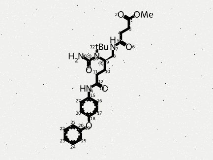 COC(=O)CCC(=O)NC[C@@H](CCC(=O)Nc1ccc(Oc2ccccc2)cc1)N(C(N)=O)C(C)(C)C